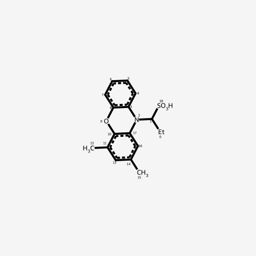 CCC(N1c2ccccc2Oc2c(C)cc(C)cc21)S(=O)(=O)O